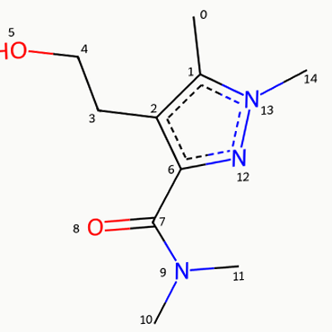 Cc1c(CCO)c(C(=O)N(C)C)nn1C